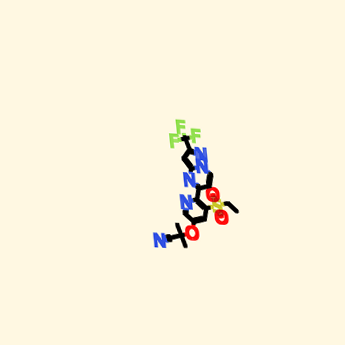 CCS(=O)(=O)c1cc(OC(C)(C)C#N)cnc1-c1ccn2nc(C(F)(F)F)cc2n1